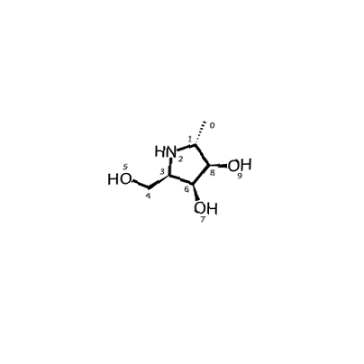 C[C@H]1N[C@H](CO)[C@H](O)[C@@H]1O